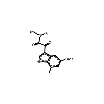 COc1cc(C)c2[nH]cc(C(=O)C(=O)N(C(C)C)C(C)C)c2c1